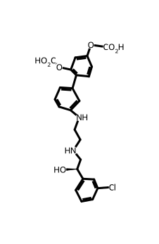 O=C(O)Oc1ccc(-c2cccc(NCCNC[C@H](O)c3cccc(Cl)c3)c2)c(OC(=O)O)c1